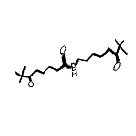 CC(C)(C)C(=O)CCCCCBC(=O)CCCCC(=O)C(C)(C)C